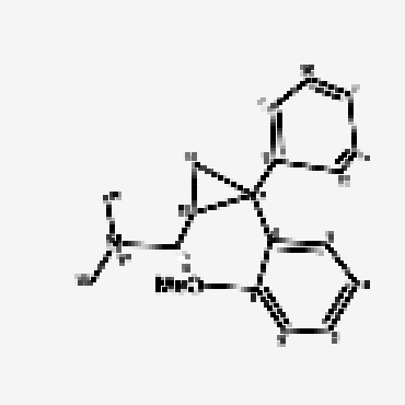 COc1ccccc1C1(c2ccccc2)CC1CN(C)C